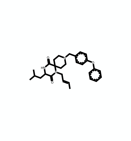 CC=CCN1C(=O)C(CC(C)C)NC(=O)C12CCN(Cc1ccc(Oc3ccccc3)cc1)CC2